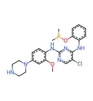 COc1cc(N2CCNCC2)ccc1Nc1ncc(Cl)c(Nc2ccccc2OP(C)C)n1